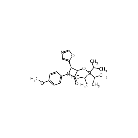 COc1ccc(N2C(=O)[C@H](O[Si](C(C)C)(C(C)C)C(C)C)[C@@H]2c2cnco2)cc1